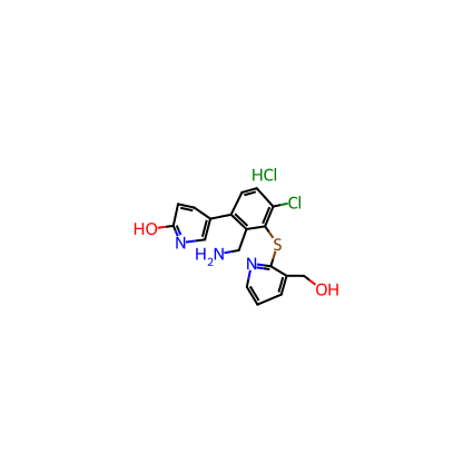 Cl.NCc1c(-c2ccc(O)nc2)ccc(Cl)c1Sc1ncccc1CO